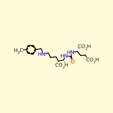 Cc1ccc(CNCCCC[C@H](NC(=O)N[C@@H](CCC(=O)O)C(=O)O)C(=O)O)cc1